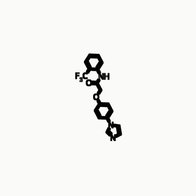 O=C(COc1ccc(-n2ccnc2)cc1)Nc1ccccc1C(F)(F)F